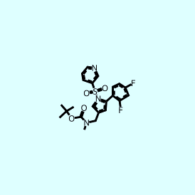 CN(Cc1cc(-c2ccc(F)cc2F)n(S(=O)(=O)c2cccnc2)c1)C(=O)OC(C)(C)C